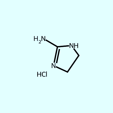 Cl.NC1=NCCN1